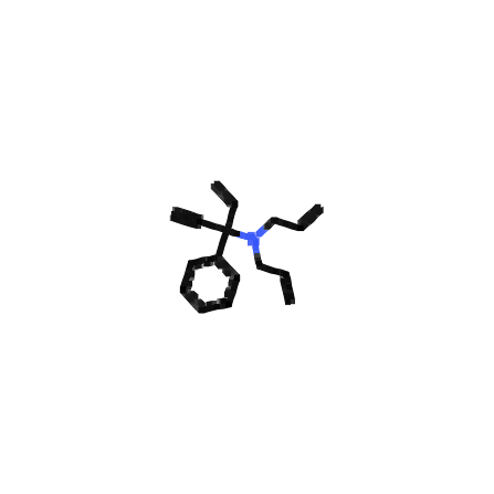 C#CC(C=C)(c1ccccc1)N(CC=C)CC=C